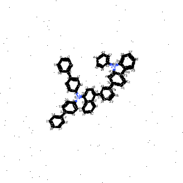 c1ccc(-c2ccc(N(c3ccc(-c4ccccc4)cc3)c3ccc(-c4cccc(-c5ccc6c7ccccc7n(-c7ccccc7)c6c5)c4)c4ccccc34)cc2)cc1